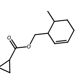 CC1CCC=CC1COC(=O)C1CC1